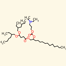 CCCCCCCCCCCCC(COC(=O)CCC(OCC(CC)CCCC)OCC(CC)CCCC)OC(=O)OCCCN(CC)CC